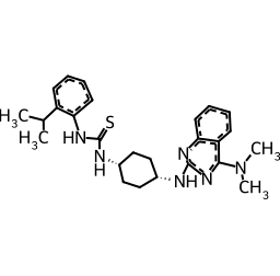 CC(C)c1ccccc1NC(=S)N[C@H]1CC[C@@H](Nc2nc(N(C)C)c3ccccc3n2)CC1